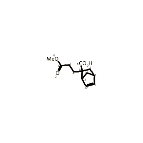 COC(=O)CCC1(C(=O)O)CC2C=CC1C2